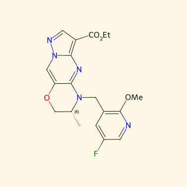 CCOC(=O)c1cnn2cc3c(nc12)N(Cc1cc(F)cnc1OC)[C@H](C)CO3